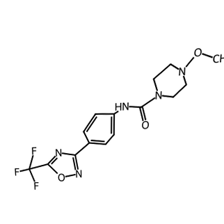 CON1CCN(C(=O)Nc2ccc(-c3noc(C(F)(F)F)n3)cc2)CC1